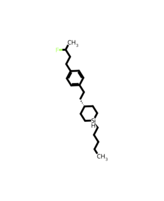 CCCCC[Si@H]1CC[C@H](CCc2ccc(CCC(C)F)cc2)CC1